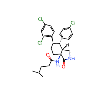 CC(C)CCC(=O)N[C@@]12CC[C@@H](c3ccc(Cl)cc3Cl)[C@H](c3ccc(Cl)cc3)[C@@H]1CNC2=O